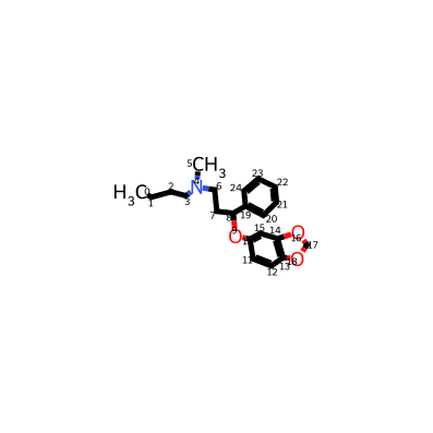 CCCCN(C)CCC(Oc1ccc2c(c1)OCO2)c1ccccc1